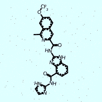 Cc1nc(C(=O)Nc2nc3c(C(=O)Nc4ncc[nH]4)cccc3[nH]2)cc2ccc(OC(F)(F)F)cc12